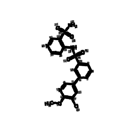 COc1ncc(-c2cccc(S(=O)(=O)Nc3ccncc3S(N)(=O)=O)c2)cc1Cl